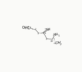 C[C@@H](N)CC(=N)CCC=O